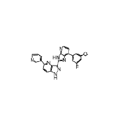 COc1cc(F)cc(-c2ccnc3[nH]c(-c4n[nH]c5ccc(-c6cccnc6)nc45)nc23)c1